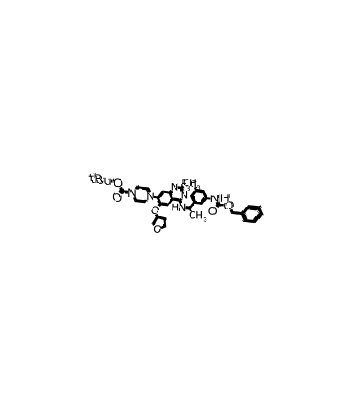 Cc1nc(N[C@H](C)c2cc(NC(=O)OCc3ccccc3)cc(C(F)(F)F)c2)c2cc(OC3CCOC3)c(N3CCN(C(=O)OC(C)(C)C)CC3)cc2n1